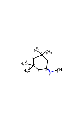 C/N=C1/CC(C)(C)CC(C)(C#N)C1